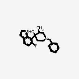 CC1CN(Cc2ccccc2)CCC1(O)c1c(F)ccc2ccoc12